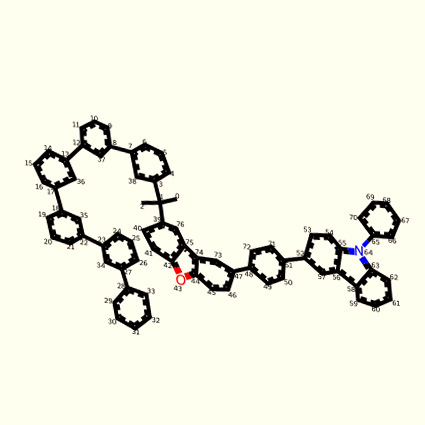 CC(C)(c1cccc(-c2cccc(-c3cccc(-c4cccc(-c5cccc(-c6ccccc6)c5)c4)c3)c2)c1)c1ccc2oc3ccc(-c4ccc(-c5ccc6c(c5)c5ccccc5n6-c5ccccc5)cc4)cc3c2c1